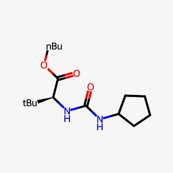 CCCCOC(=O)[C@@H](NC(=O)NC1CCCC1)C(C)(C)C